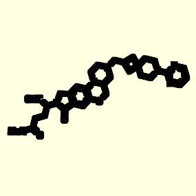 CNC(=O)CCC(C=O)N1Cc2cc3c(cc2C1=O)OCC1CN(CC2CC4(CCN(c5ncccn5)CC4)C2)CCN31